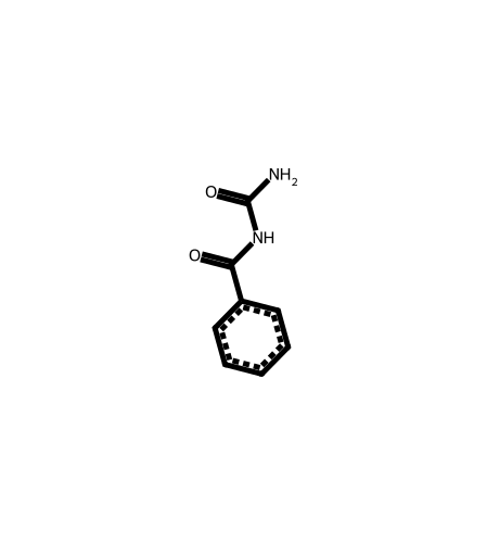 NC(=O)NC(=O)c1ccccc1